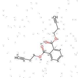 C#CCCOC(=O)c1ccccc1C(=O)OCCC#C